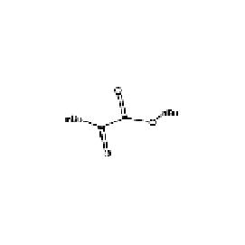 CCCCOC(=O)C(=O)CCCC